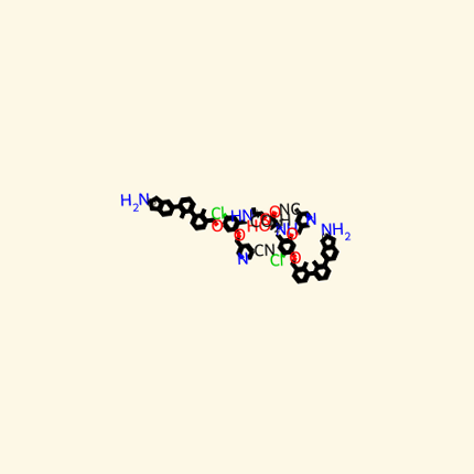 Cc1c(COc2cc(OCc3cncc(C#N)c3)c(CN[C@@](C)(COC(=O)[C@](C)(CO)NCc3cc(Cl)c(OCc4cccc(-c5cccc(-c6ccc7c(c6)C[C@@H](N)C7)c5C)c4C)cc3OCc3cncc(C#N)c3)C(=O)O)cc2Cl)cccc1-c1cccc(-c2ccc3c(c2)C[C@H](N)C3)c1C